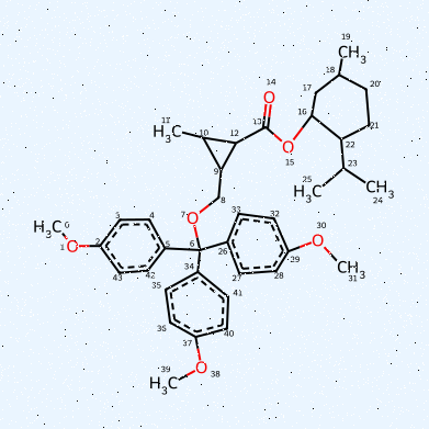 COc1ccc(C(OCC2C(C)C2C(=O)OC2CC(C)CCC2C(C)C)(c2ccc(OC)cc2)c2ccc(OC)cc2)cc1